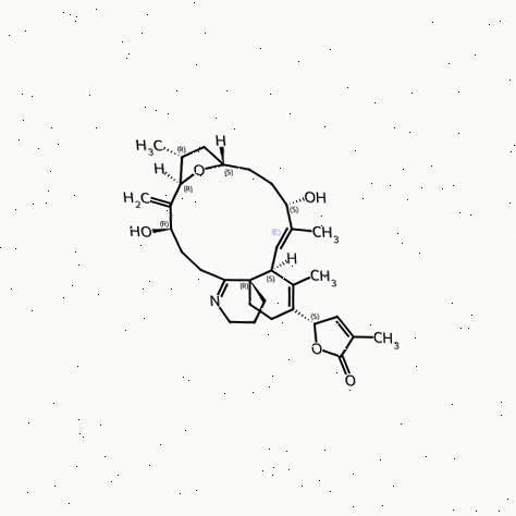 C=C1[C@H](O)CCC2=NCCC[C@@]23CCC([C@@H]2C=C(C)C(=O)O2)=C(C)[C@@H]3/C=C(\C)[C@@H](O)CC[C@H]2C[C@@H](C)[C@H]1O2